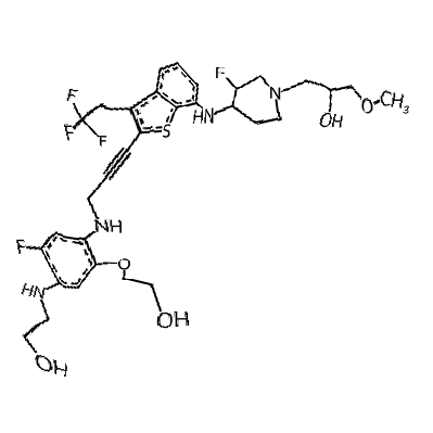 COCC(O)CN1CCC(Nc2cccc3c(CC(F)(F)F)c(C#CCNc4cc(F)c(NCCO)cc4OCCO)sc23)C(F)C1